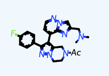 CC(=O)N1CCn2nc(-c3ccc(F)cc3)c(-c3ccnn4cc(CN(C)C)nc34)c2C1